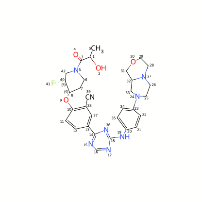 CC(O)C(=O)N1CC[C@H](Oc2ccc(-c3ncnc(Nc4ccc(N5CCN6CCOCC6C5)cc4)n3)cc2C#N)[C@H](F)C1